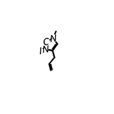 C=CCC1=CN(C)[C+]=N1.[I-]